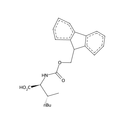 CCCC[C@@H](C)[C@H](NC(=O)OCC1c2ccccc2-c2ccccc21)C(=O)O